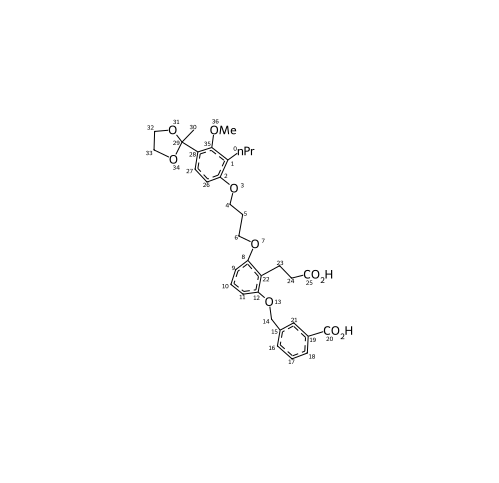 CCCc1c(OCCCOc2cccc(OCc3cccc(C(=O)O)c3)c2CCC(=O)O)ccc(C2(C)OCCO2)c1OC